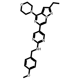 CCc1cc2c(N3CCOCC3)nc(-c3cnc(NCc4ccc(OC)cc4)nc3)cn2n1